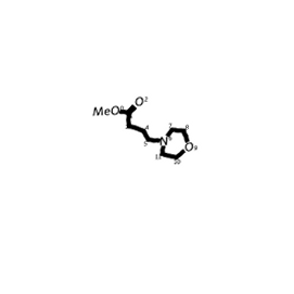 [CH]OC(=O)CCCN1CCOCC1